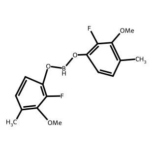 COc1c(C)ccc(OBOc2ccc(C)c(OC)c2F)c1F